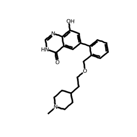 CN1CCC(CCOCc2ccccc2-c2cc(O)c3nc[nH]c(=O)c3c2)CC1